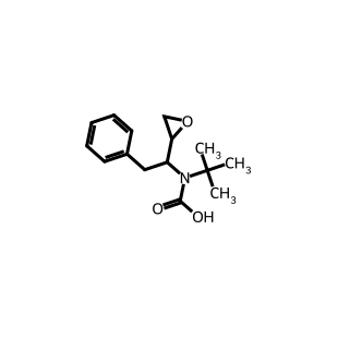 CC(C)(C)N(C(=O)O)C(Cc1ccccc1)C1CO1